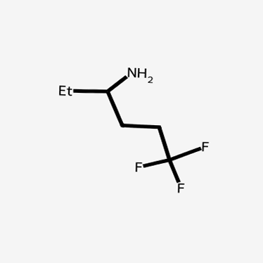 CCC(N)CCC(F)(F)F